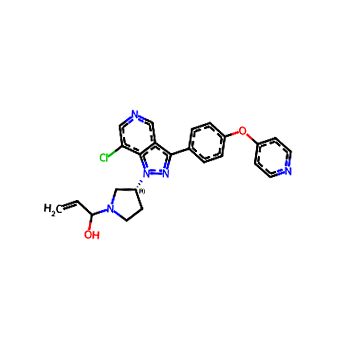 C=CC(O)N1CC[C@@H](n2nc(-c3ccc(Oc4ccncc4)cc3)c3cncc(Cl)c32)C1